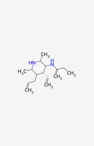 C=CCC1C(C)NC(C)C(NC(=C)CC)[C@@H]1C=C